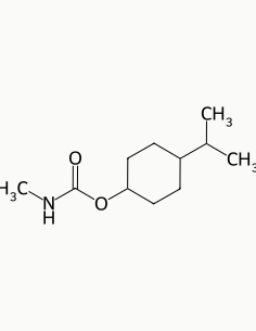 CNC(=O)OC1CCC(C(C)C)CC1